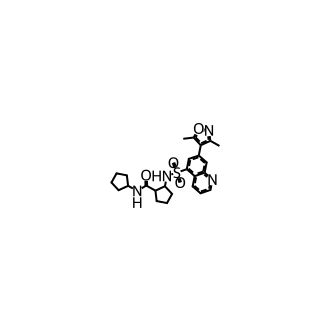 Cc1noc(C)c1-c1cc(S(=O)(=O)NC2CCCC2C(=O)NC2CCCC2)c2cccnc2c1